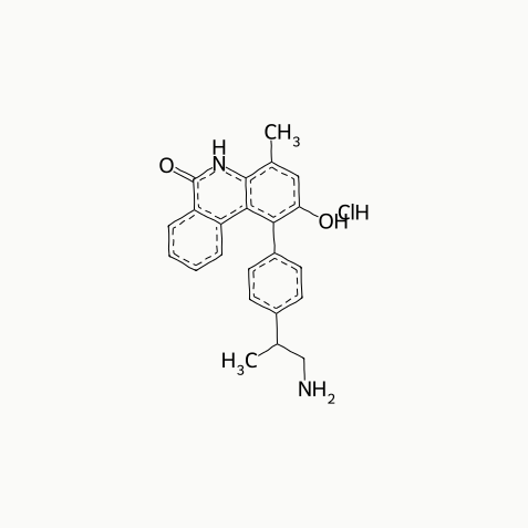 Cc1cc(O)c(-c2ccc(C(C)CN)cc2)c2c1[nH]c(=O)c1ccccc12.Cl